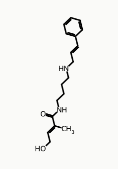 C/C(=C\CO)C(=O)NCCCCNC/C=C/c1ccccc1